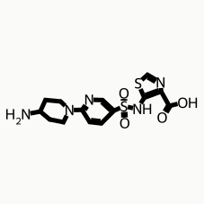 NC1CCN(c2ccc(S(=O)(=O)Nc3scnc3C(=O)O)cn2)CC1